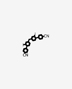 N#Cc1ccc(-c2ccc(Cc3ccc(-c4ccc(C#N)cc4)c(I)c3)cc2I)cc1